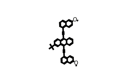 COc1ccc2c(C#CC3=c4ccc(C(C)(C)C)cc4=C(C#Cc4cccc5cc(OC)ccc45)C4C=CC=CC34)cccc2c1